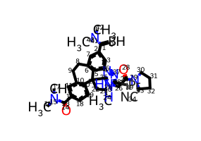 B=C(c1ccc2c(c1)CCc1cc(C(=O)N(C)C)ccc1C2(C[C@H](C)NCC(=O)N1CCCC1C#N)c1nnc(C(C)C)[nH]1)N(C)C